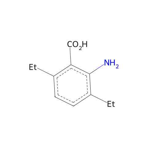 CCc1ccc(CC)c(C(=O)O)c1N